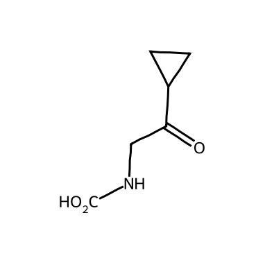 O=C(O)NCC(=O)C1CC1